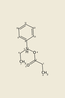 CCC(=O)O[SiH](CC)c1ccccc1